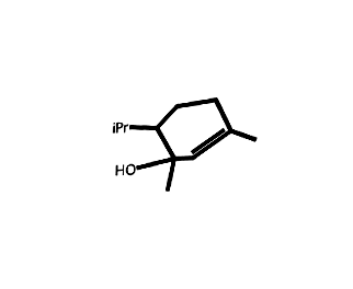 CC1=CC(C)(O)C(C(C)C)CC1